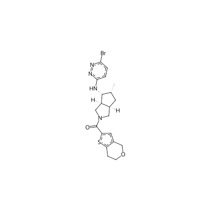 C[C@@H]1C[C@H]2CN(C(=O)c3cc4c(s3)CCOC4)C[C@H]2[C@@H]1Nc1ccc(Br)nn1